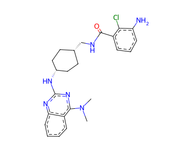 CN(C)c1nc(N[C@H]2CC[C@@H](CNC(=O)c3cccc(N)c3Cl)CC2)nc2ccccc12